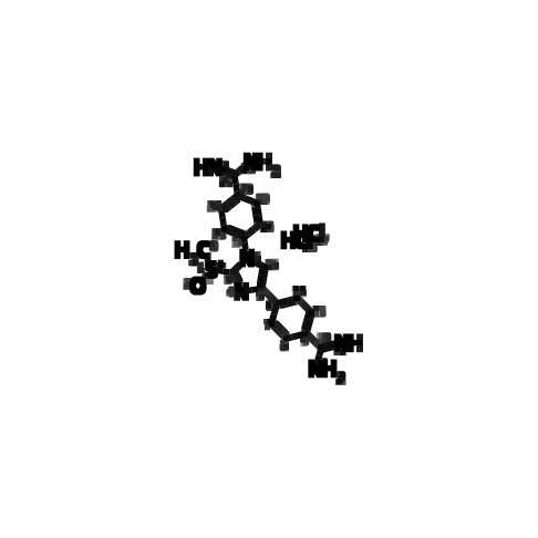 C[S+]([O-])c1nc(-c2ccc(C(=N)N)cc2)cn1-c1ccc(C(=N)N)cc1.Cl.Cl